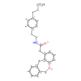 CCOC(=O)CCc1ccc(CCNC(=O)Cc2cccc3c2Cc2ccccc2CO3)cc1